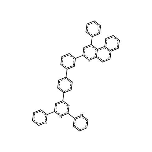 c1ccc(-c2cc(-c3cccc(-c4ccc(-c5cc(-c6ccccn6)nc(-c6ccccn6)c5)cc4)c3)nc3ccc4ccccc4c23)cc1